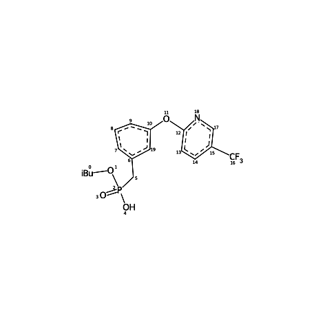 CCC(C)OP(=O)(O)Cc1cccc(Oc2ccc(C(F)(F)F)cn2)c1